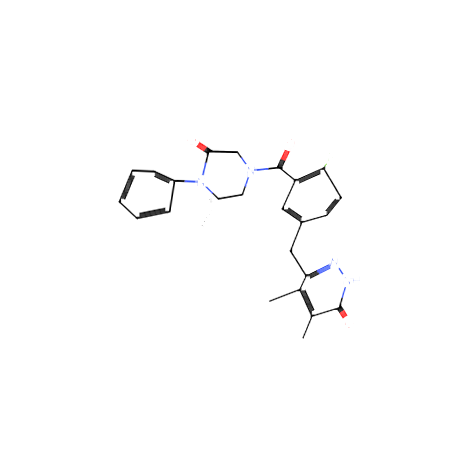 Cc1c(Cc2ccc(F)c(C(=O)N3CC(=O)N(c4ccccc4)[C@@H](C)C3)c2)n[nH]c(=O)c1C